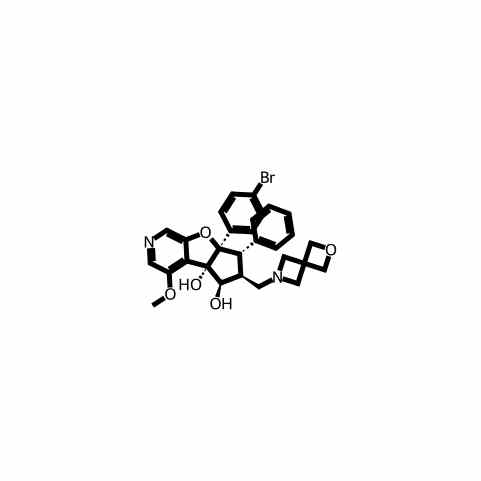 COc1cncc2c1[C@]1(O)[C@H](O)[C@H](CN3CC4(COC4)C3)[C@@H](c3ccccc3)[C@]1(c1ccc(Br)cc1)O2